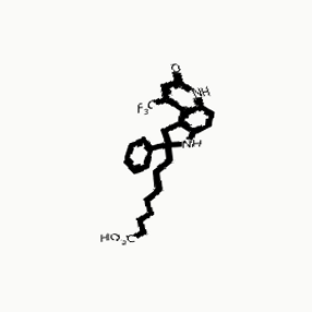 O=C(O)CCCCCCCC1(c2ccccc2)Cc2c(ccc3[nH]c(=O)cc(C(F)(F)F)c23)N1